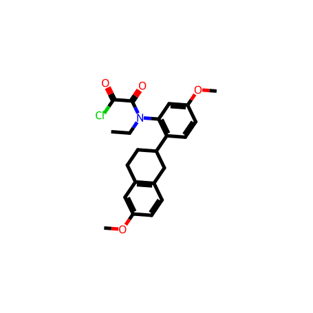 CCN(C(=O)C(=O)Cl)c1cc(OC)ccc1C1CCc2cc(OC)ccc2C1